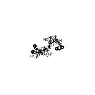 CC(=O)[C@@H](NC(=O)[C@H](Cc1ccccc1)NC(=O)[C@H](Cc1ccccc1)NC(=O)[C@H](CC(=O)O)NC(=O)[C@H](CC(=O)O)NC(=O)[C@H](CC(=O)O)NC(=O)CNC(=O)CNC(=O)CNC(=O)[C@H](CC(=O)O)NC(=O)[C@H](CC(=O)O)NC(=O)CCC(=O)N1Cc2ccccc2C#Cc2ccccc21)C(C)C